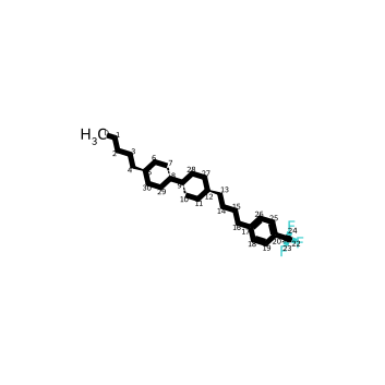 CCCCC[C@H]1CC[C@H]([C@H]2CC[C@H](CCCCc3ccc(C(F)(F)F)cc3)CC2)CC1